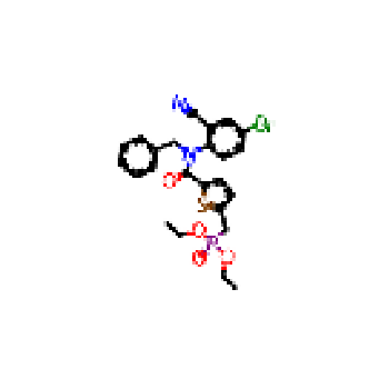 CCOP(=O)(Cc1ccc(C(=O)N(Cc2ccccc2)c2ccc(Br)cc2C#N)s1)OCC